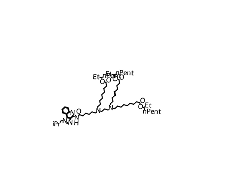 CCCCCC(CC)OC(=O)CCCCCCCCN(CCCCCCCCC(=O)OC(CC)CCCCC)CCCN(CCCCCCCCC(=O)OC(CC)CCCCC)CCCCCC(=O)Nc1nc2ccccc2c2c1ncn2CC(C)C